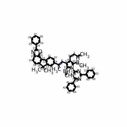 C=C/C=C\c1c(/C=C(\C)c2ccc3c(c2)C(C)(C)c2ccc4nc(-c5ccccc5)oc4c2-3)c(BC)n(-c2nc(-c3ccccc3)nc(-c3ccccc3)n2)c1BC